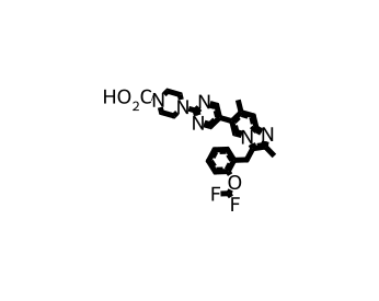 Cc1cc2nc(C)c(Cc3ccccc3OC(F)F)n2cc1-c1cnc(N2CCN(C(=O)O)CC2)nc1